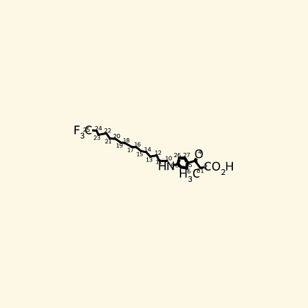 CC(C(=O)O)C(=O)c1ccc(NCCCCCCCCCCCCCCCC(F)(F)F)cc1